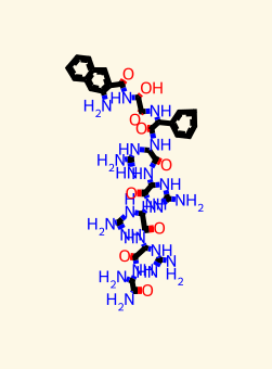 N=C(N)NC(NC(=O)C(NC(=N)N)NC(=O)C(NC(=N)N)NC(=O)C(NC(=N)N)NC(=O)C(NC(=O)C(O)NC(=O)c1cc2ccccc2cc1N)c1ccccc1)C(=O)NC(N)C(N)=O